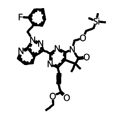 CCOC(=O)C#Cc1nc(-c2nn(Cc3ccccc3F)c3ncccc23)nc2c1C(C)(C)C(=O)N2COCC[Si](C)(C)C